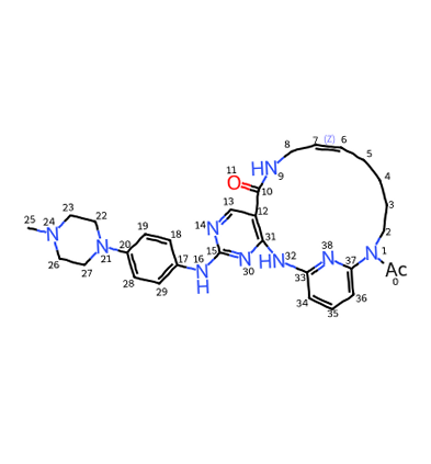 CC(=O)N1CCCC/C=C\CNC(=O)c2cnc(Nc3ccc(N4CCN(C)CC4)cc3)nc2Nc2cccc1n2